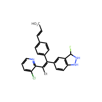 CC/C(=C(/c1ccc(/C=C/C(=O)O)cc1)c1ccc2c(c1)C(F)NN2)c1ncccc1Cl